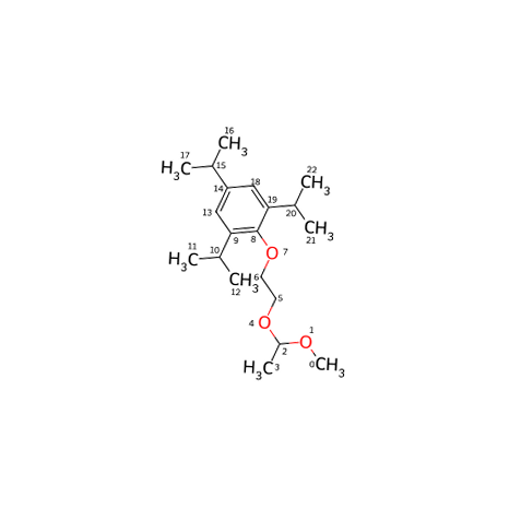 COC(C)OCCOc1c(C(C)C)cc(C(C)C)cc1C(C)C